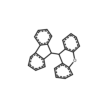 c1ccc2c(c1)Oc1ccccc1C2C1c2ccccc2-c2ccccc21